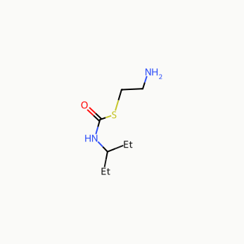 CCC(CC)NC(=O)SCCN